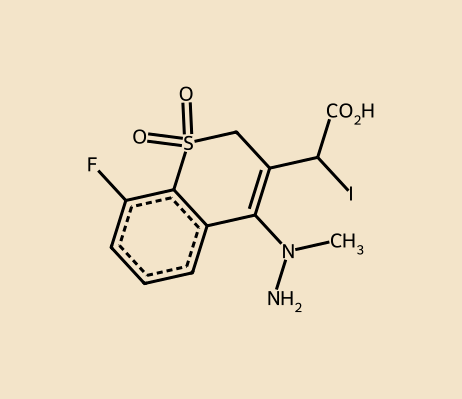 CN(N)C1=C(C(I)C(=O)O)CS(=O)(=O)c2c(F)cccc21